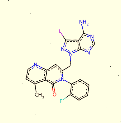 Cc1ccnc2cc(Cn3nc(I)c4c(N)ncnc43)n(-c3ccccc3F)c(=O)c12